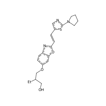 CCC(CO)COc1ccc2nc(/C=C/c3cnc(N4CCCC4)s3)oc2c1